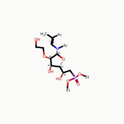 CCOP(=O)(C[C@@H](O)[C@H]1O[C@@H](N(/C=C(/C)C(C)=O)C(C)=O)[C@H](OCCO)[C@@H]1O)OCC